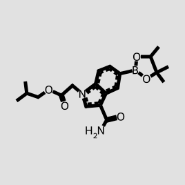 CC(C)COC(=O)Cn1cc(C(N)=O)c2cc(B3OC(C)C(C)(C)O3)ccc21